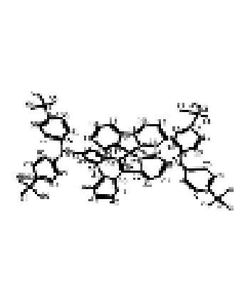 CC(C)(C)c1ccc(N(c2ccc(C(C)(C)C)cc2)c2ccc3c(c2)C2(c4ccccc4-c4ccccc42)c2c-3c3ccccc3c3cc(N(c4ccc(C(C)(C)C)cc4)c4ccc(C(C)(C)C)cc4)ccc23)cc1